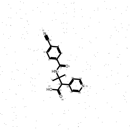 CC(C)(NC(=O)c1ccc(C#N)cc1)C(C(=O)O)c1ccncc1